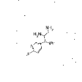 CC(C)C(c1ccc(F)nc1)C(N)CN